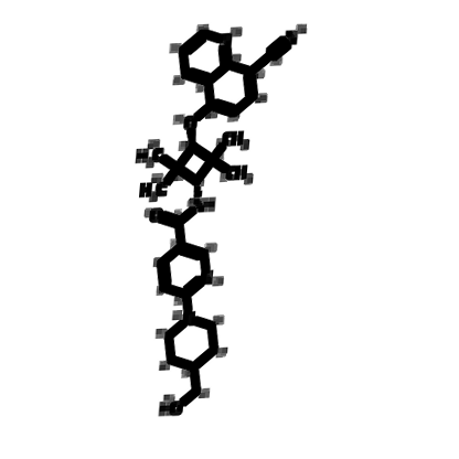 CC1(C)[C@H](NC(=O)c2ccc(N3CCC(CO)CC3)nc2)C(C)(C)[C@H]1Oc1ccc(C#N)c2ncccc12